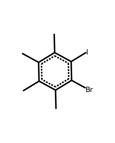 Cc1c(C)c(C)c(I)c(Br)c1C